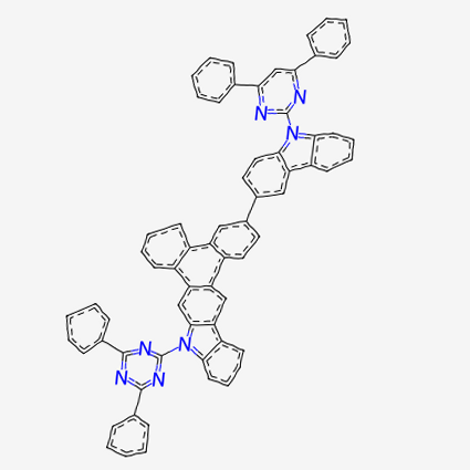 c1ccc(-c2cc(-c3ccccc3)nc(-n3c4ccccc4c4cc(-c5ccc6c(c5)c5ccccc5c5cc7c(cc65)c5ccccc5n7-c5nc(-c6ccccc6)nc(-c6ccccc6)n5)ccc43)n2)cc1